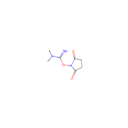 CN(C)C(=N)ON1C(=O)CCC1=O